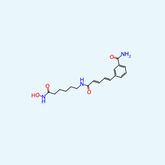 NC(=O)c1cccc(/C=C/C=C/C(=O)NCCCCCC(=O)NO)c1